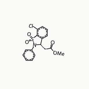 COC(=O)CC1c2cccc(Cl)c2S(=O)(=O)N1c1ccccc1